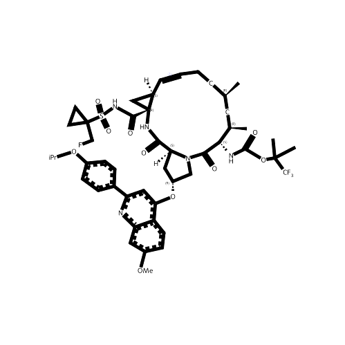 COc1ccc2c(O[C@@H]3C[C@H]4C(=O)N[C@]5(C(=O)NS(=O)(=O)C6(CF)CC6)C[C@H]5/C=C\CC[C@@H](C)C[C@@H](C)[C@H](NC(=O)OC(C)(C)C(F)(F)F)C(=O)N4C3)cc(-c3ccc(OC(C)C)cc3)nc2c1